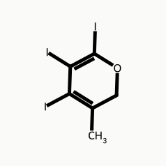 CC1=C(I)C(I)=C(I)OC1